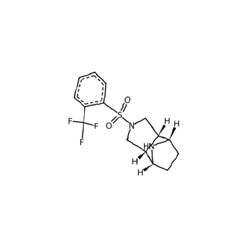 O=S(=O)(c1ccccc1C(F)(F)F)N1C[C@@H]2[C@H](C1)[C@@H]1CC[C@H]2N1